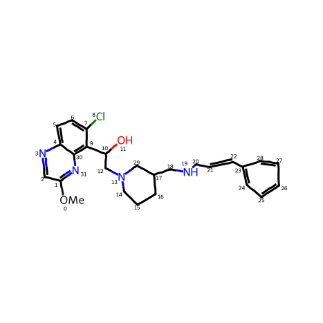 COc1cnc2ccc(Cl)c(C(O)CN3CCCC(CNCC=Cc4ccccc4)C3)c2n1